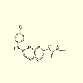 CCNC(=S)Nc1cnc2ccc(Nc3ccc(Cl)cc3)nc2n1